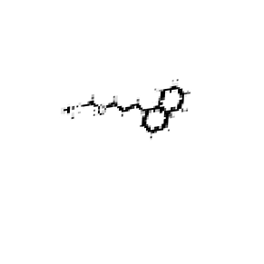 CCOCCCc1cccc2ccccc12